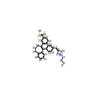 FCCCN1CC(=Cc2ccc(C3=C(c4cccc(C(F)(F)F)c4)CCCc4ccccc43)cc2)C1